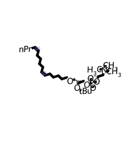 CCC/C=C\CCCC/C=C\CCCCCOC[C@H](COP(=O)([O-])OCC[N+](C)(C)C)OC(C)(C)C